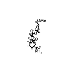 COCCOCC(C)(C)OC(=O)C(F)(F)ON1C(=O)N2C[C@H]1CC[C@H]2C(N)=O